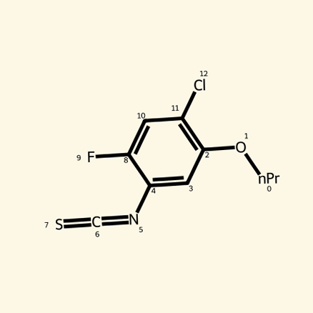 CCCOc1cc(N=C=S)c(F)cc1Cl